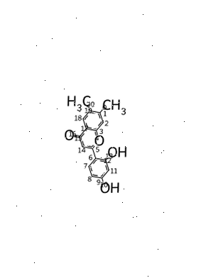 Cc1cc2oc(-c3ccc(O)cc3O)cc(=O)c2cc1C